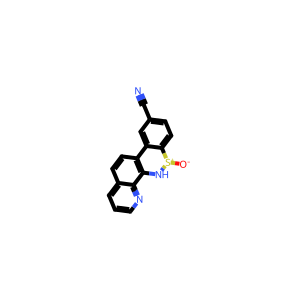 N#Cc1ccc2c(c1)-c1ccc3cccnc3c1N[S+]2[O-]